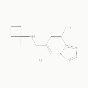 CC1(NCc2cc(C(=O)[O-])c3nccn3c2)CCC1.[Li+]